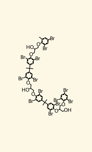 Cc1cc(Br)cc(Br)c1OCC(O)COc1c(Br)cc(C(C)(C)c2cc(Br)c(OCC(O)COc3c(Br)cc(C(C)(C)c4cc(Br)c(OC(CO)COc5c(Br)cc(Br)cc5Br)c(Br)c4)cc3Br)c(Br)c2)cc1Br